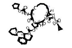 O=C(N[C@H]1CCCCC/C=C\[C@@H]2C[C@@]2(C(=O)NS(=O)(=O)C2CC2)NC(=O)[C@@H]2C[C@@H](OC(=O)N3CCc4ccccc4[C@H]3CN3CCCCC3)CN2C1=O)OC1CCCC1